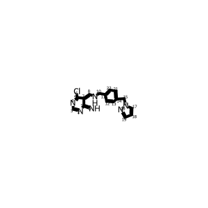 N=C1N=CN=C(Cl)/C1=C/NCc1ccc(Cn2cccn2)cc1